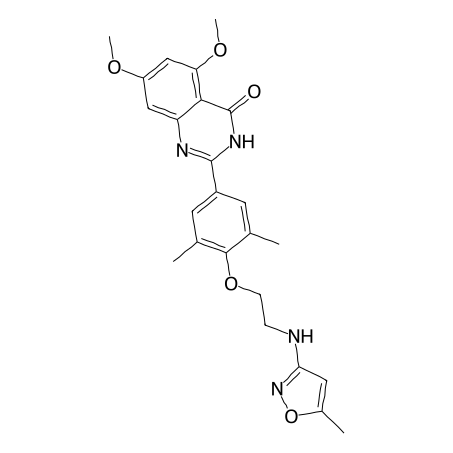 COc1cc(OC)c2c(=O)[nH]c(-c3cc(C)c(OCCNc4cc(C)on4)c(C)c3)nc2c1